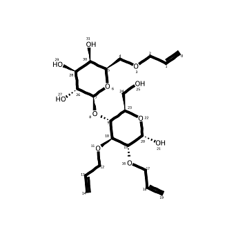 C=CCOC[C@H]1O[C@@H](O[C@H]2[C@H](OCC=C)[C@@H](OCC=C)[C@@H](O)O[C@@H]2CO)[C@H](O)[C@@H](O)[C@H]1O